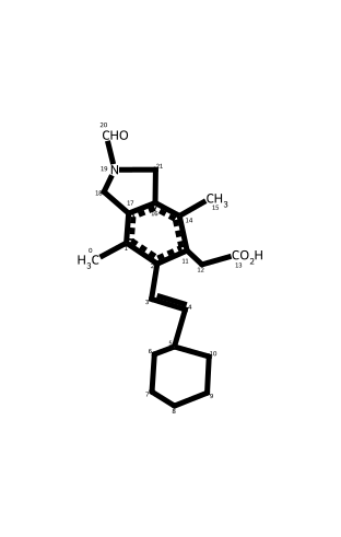 Cc1c(/C=C/C2CCCCC2)c(CC(=O)O)c(C)c2c1CN(C=O)C2